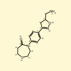 NCC1CC(c2ccc(N3CCOCCC3=O)cc2)=NO1